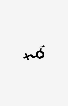 COc1cccc(/C=C/C(C)(C)C)c1